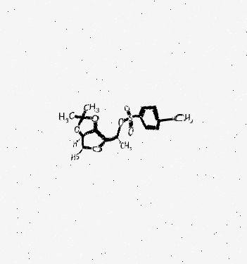 Cc1ccc(S(=O)(=O)O[C@H](C)[C@H]2O[C@@H](S)[C@H]3OC(C)(C)OC32)cc1